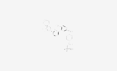 NC1(CNc2cccc(-c3cc(N[C@H]4CC[C@H](NCC5(N)CC5)CC4)ncc3Cl)n2)CCOCC1